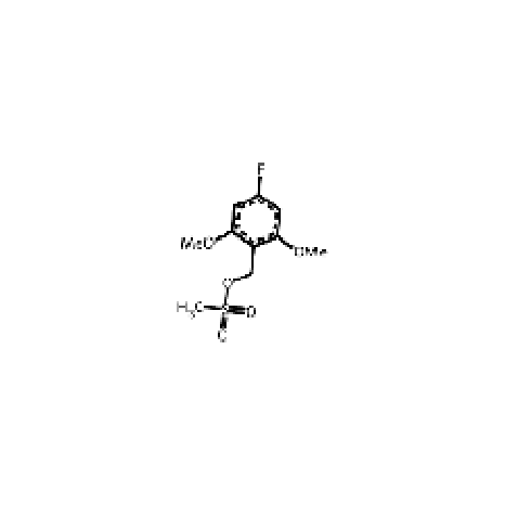 COc1cc(F)cc(OC)c1COS(C)(=O)=O